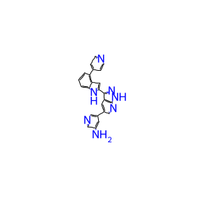 Nc1cncc(-c2cnc3[nH]nc(-c4cc5c(-c6ccncc6)cccc5[nH]4)c3c2)c1